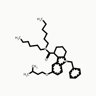 CCCCCCN(CCCCCC)C(=O)C1CCCc2c1c1cc(OCCC(C)C)ccc1n2Cc1ccccc1